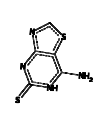 Nc1[nH]c(=S)nc2ncsc12